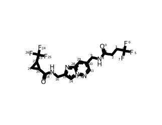 O=C(CCC(F)(F)F)NCc1cnn2cc(CNC(=O)C3CC3C(F)(F)F)nc2c1